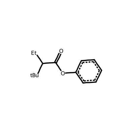 CCC(C(=O)Oc1ccccc1)C(C)(C)C